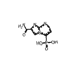 NC(=O)c1cn2c(P(=O)(O)O)ccnc2n1